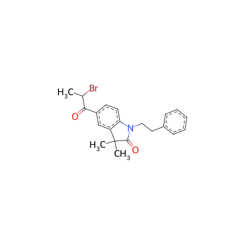 CC(Br)C(=O)c1ccc2c(c1)C(C)(C)C(=O)N2CCc1ccccc1